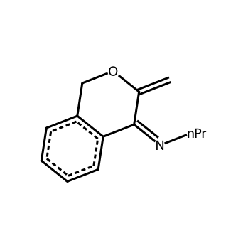 C=C1OCc2ccccc2/C1=N/CCC